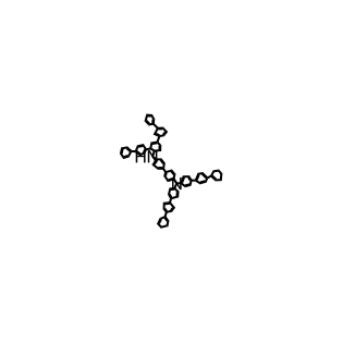 C1=CC(c2ccc(-c3ccc(N(c4ccc(-c5ccc(NC6C=CC(c7cccc(-c8ccccc8)c7)=CC6c6ccc(-c7ccccc7)cc6)cc5)cc4)c4ccc(-c5ccc(C6=CCCCC6)cc5)cc4)cc3)cc2)=CCC1